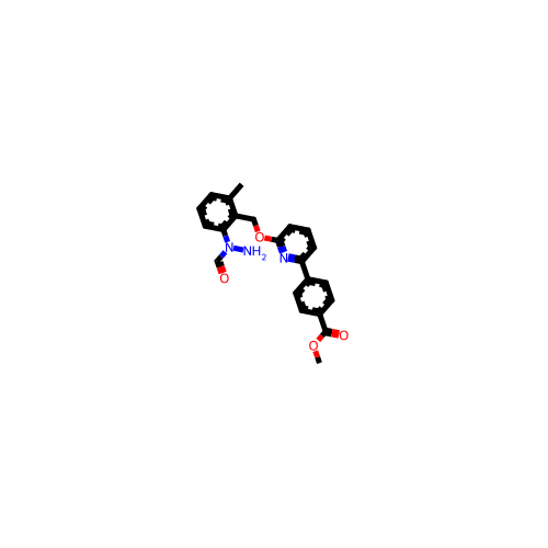 COC(=O)c1ccc(-c2cccc(OCc3c(C)cccc3N(N)C=O)n2)cc1